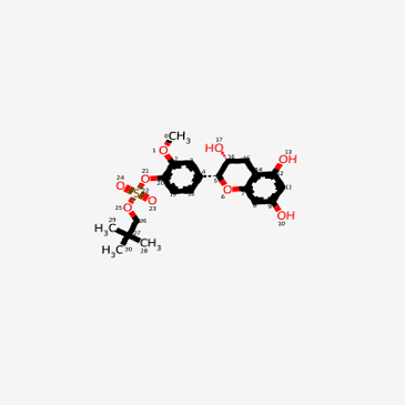 COc1cc([C@H]2Oc3cc(O)cc(O)c3C[C@H]2O)ccc1OS(=O)(=O)OCC(C)(C)C